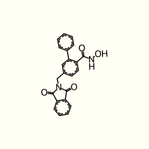 O=C(NO)c1ccc(CN2C(=O)c3ccccc3C2=O)cc1-c1ccccc1